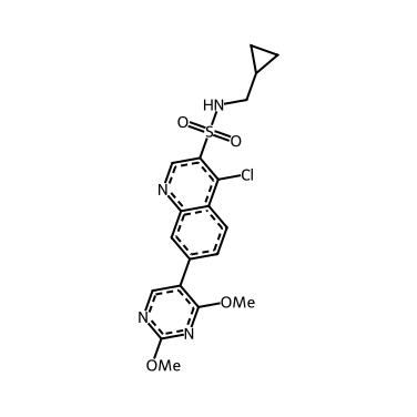 COc1ncc(-c2ccc3c(Cl)c(S(=O)(=O)NCC4CC4)cnc3c2)c(OC)n1